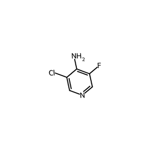 Nc1c(F)cncc1Cl